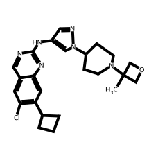 CC1(N2CCC(n3cc(Nc4ncc5cc(Cl)c(C6CCC6)cc5n4)cn3)CC2)COC1